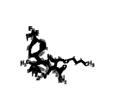 CCCCOCc1nn(C(c2ccc(C(F)(F)F)cc2)C2(C)CC2)c(N)c1C(N)=O